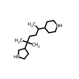 CC(CCC(C)(C)C1CCNC1)C1CCNCC1